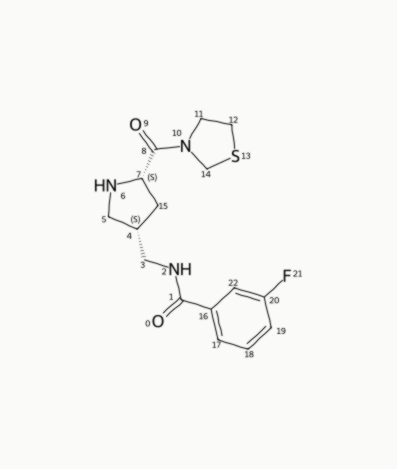 O=C(NC[C@@H]1CN[C@H](C(=O)N2CCSC2)C1)c1cccc(F)c1